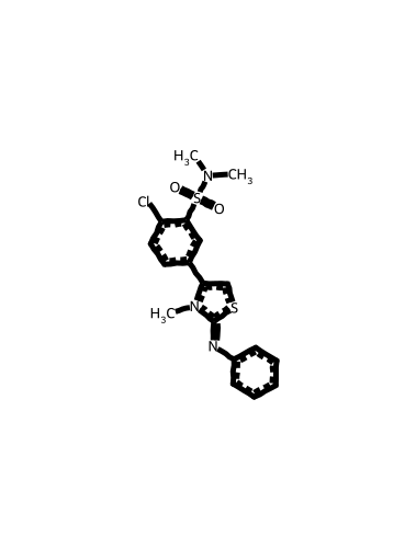 CN(C)S(=O)(=O)c1cc(-c2cs/c(=N\c3ccccc3)n2C)ccc1Cl